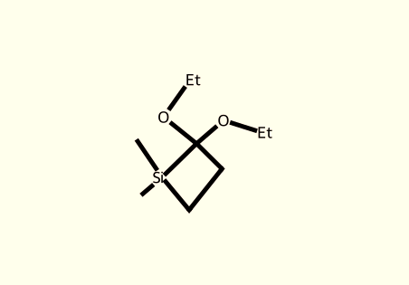 CCOC1(OCC)CC[Si]1(C)C